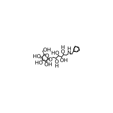 OC[C@H]1O[C@H](OCC(O)C(O)C(O)C(O)CNCc2ccccc2)[C@H](O)[C@@H](O)[C@@H]1O